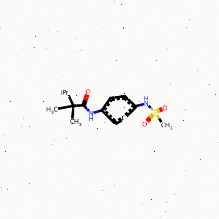 CC(C)C(C)(C)C(=O)Nc1ccc(NS(C)(=O)=O)cc1